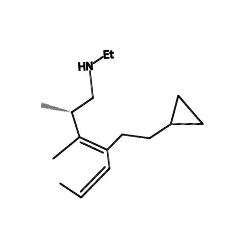 C/C=C\C(CCC1CC1)=C(/C)[C@H](C)CNCC